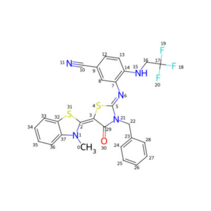 CN1/C(=C2/S/C(=N\c3cc(C#N)ccc3NCC(F)(F)F)N(Cc3ccccc3)C2=O)Sc2ccccc21